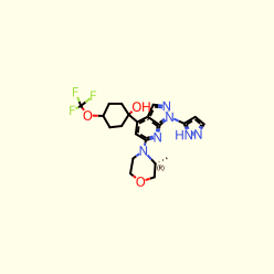 C[C@@H]1COCCN1c1cc(C2(O)CCC(OC(F)(F)F)CC2)c2cnn(-c3ccn[nH]3)c2n1